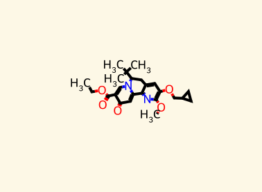 CCOC(=O)c1cn2c(cc1=O)-c1nc(OC)c(OCC3CC3)cc1CC2C(C)(C)C